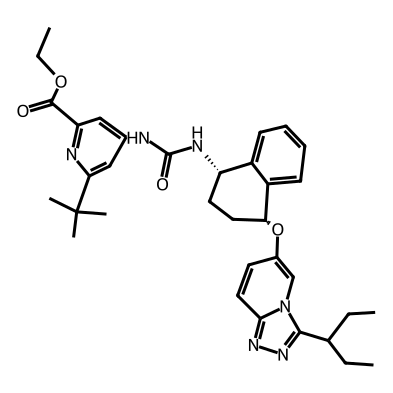 CCOC(=O)c1cc(NC(=O)N[C@H]2CC[C@@H](Oc3ccc4nnc(C(CC)CC)n4c3)c3ccccc32)cc(C(C)(C)C)n1